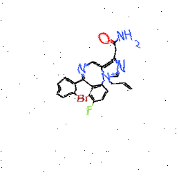 C=CC[N+]12C=NC(C(N)=O)=C1CN=C(c1ccccc1Br)c1cc(F)ccc12